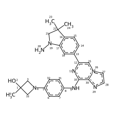 CC1(O)CN(c2ccc(Nc3nc(-c4ccc5c(c4)N(N)CC5(C)C)cn4ccnc34)cc2)C1